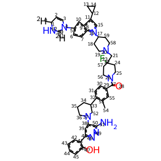 [2H]C1C=CN(c2ccc3c(c2)c(C2CC2)cn3C2CCN(CC3(F)CCN(C(=O)c4ccc(C5CCCN(c6cc(-c7ccccc7O)nnc6N)C5)c(C)c4)CC3)CC2)[C@H]([2H])N1